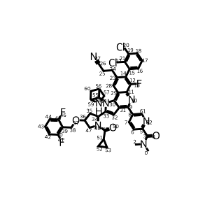 CN(C)C(=O)c1ccc(-c2nc3c(F)c(-c4cccc(Cl)c4Cl)c(CCC#N)cc3c3c2cc(C2CC(OCc4c(F)cccc4F)CN2C(=O)C2CC2)n3C2C3CNC2C3)cn1